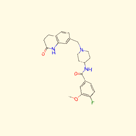 COc1cc(C(=O)NC2CCN(Cc3ccc4c(c3)NC(=O)CC4)CC2)ccc1F